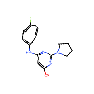 Oc1cc(Nc2ccc(F)cc2)nc(N2CCCC2)n1